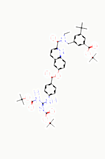 CCN(Cc1cc(C(=O)OC(C)(C)C)cc(C(C)(C)C)c1)C(=O)c1ccc2cc(OC(=O)c3ccc(N/C(=N\C(=O)OC(C)(C)C)NC(=O)OC(C)(C)C)cc3)ccc2n1